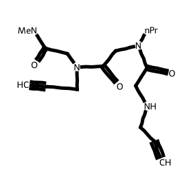 C#CCNCC(=O)N(CCC)CC(=O)N(CC#C)CC(=O)NC